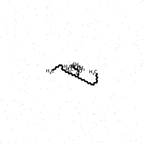 CCCCC/C=C\C/C=C\CCCCCCCCC(CCCCCCCC/C=C\C/C=C\CCCCC)COC(=O)C(C)CC(C)(C)N(C)C